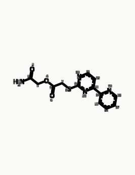 NC(=O)COC(=O)CSc1nccc(-c2ccccn2)n1